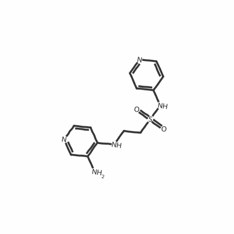 Nc1cnccc1NCCS(=O)(=O)Nc1ccncc1